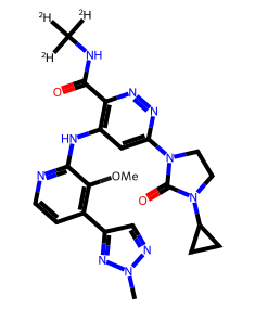 [2H]C([2H])([2H])NC(=O)c1nnc(N2CCN(C3CC3)C2=O)cc1Nc1nccc(-c2cnn(C)n2)c1OC